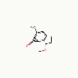 CCCOC.COc1cccc2c(=O)c12